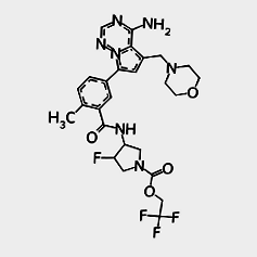 Cc1ccc(-c2cc(CN3CCOCC3)c3c(N)ncnn23)cc1C(=O)NC1CN(C(=O)OCC(F)(F)F)CC1F